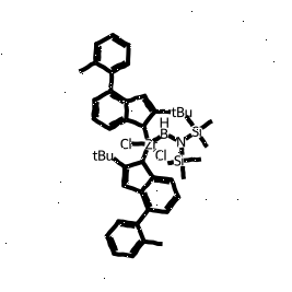 Cc1ccccc1-c1cccc2c1C=C(C(C)(C)C)[CH]2[Zr]([Cl])([Cl])([BH]N([Si](C)(C)C)[Si](C)(C)C)[CH]1C(C(C)(C)C)=Cc2c(-c3ccccc3C)cccc21